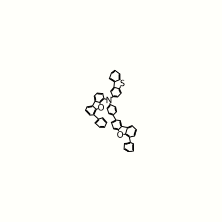 c1ccc(-c2cccc3c2oc2ccc(-c4ccc(N(c5ccc6sc7ccccc7c6c5)c5cccc6c5oc5c(-c7ccccc7)cccc56)cc4)cc23)cc1